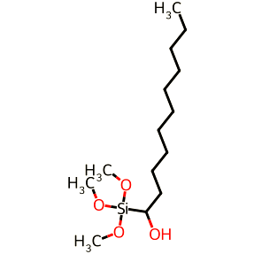 CCCCCCCCCCC(O)[Si](OC)(OC)OC